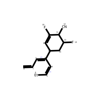 C=C/C=C(\C=C/CC)C1C=C(F)C(C#N)C(F)C1